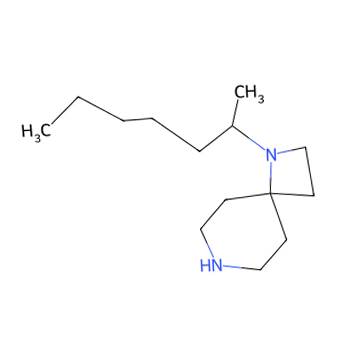 CCCCCC(C)N1CCC12CCNCC2